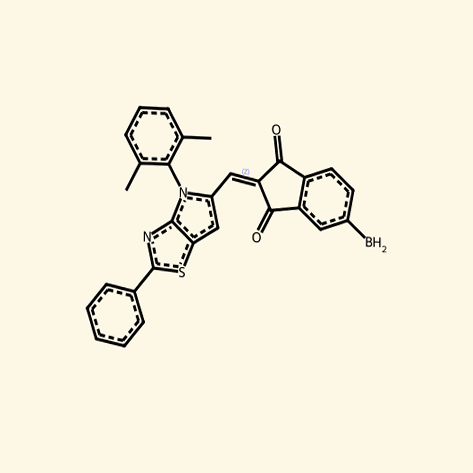 Bc1ccc2c(c1)C(=O)/C(=C\c1cc3sc(-c4ccccc4)nc3n1-c1c(C)cccc1C)C2=O